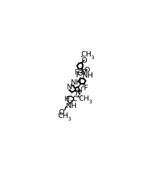 CCOc1ccc(F)c(S(=O)(=O)Nc2cc(F)c(-c3nn(C(C)C)c4c3c(N)ncc4[C@H]3CC[C@H](NCCOC)CC3)cc2F)c1